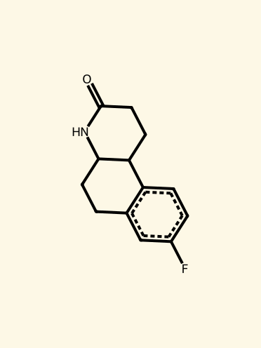 O=C1CCC2c3ccc(F)cc3CCC2N1